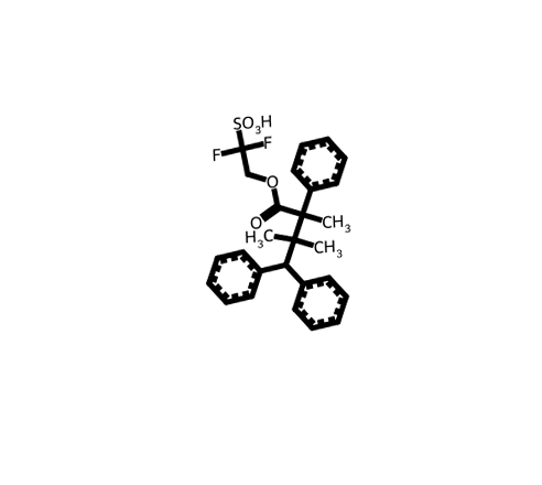 CC(C(=O)OCC(F)(F)S(=O)(=O)O)(c1ccccc1)C(C)(C)C(c1ccccc1)c1ccccc1